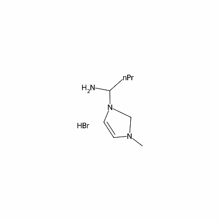 Br.CCCC(N)N1C=CN(C)C1